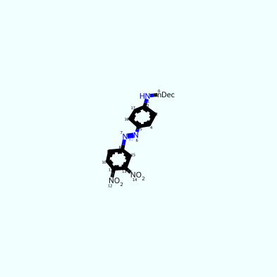 CCCCCCCCCCNc1ccc(/N=N/c2ccc([N+](=O)[O-])c([N+](=O)[O-])c2)cc1